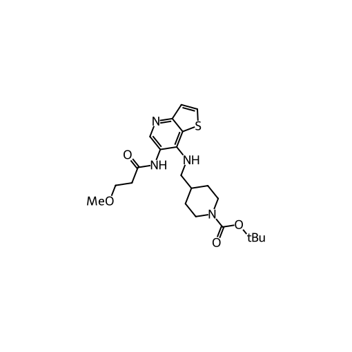 COCCC(=O)Nc1cnc2ccsc2c1NCC1CCN(C(=O)OC(C)(C)C)CC1